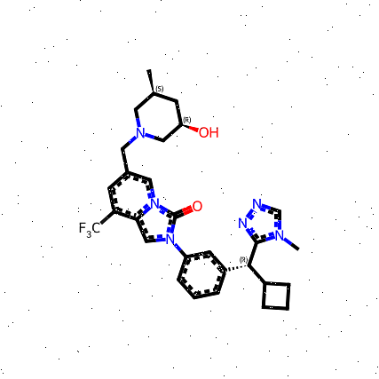 C[C@H]1C[C@@H](O)CN(Cc2cc(C(F)(F)F)c3cn(-c4cccc([C@H](c5nncn5C)C5CCC5)c4)c(=O)n3c2)C1